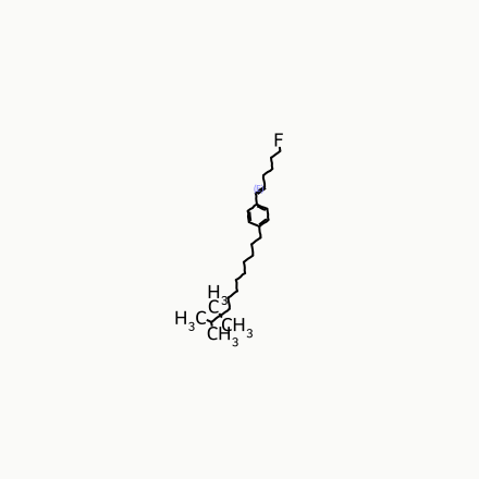 CC(C)C(C)(C)CCCCCCCCCc1ccc(/C=C/CCCCF)cc1